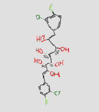 OC(=Cc1ccc(F)c(Cl)c1)[C@@H](O)[C@@H](O)[C@H](O)[C@@H](O)C(O)=Cc1ccc(F)c(Cl)c1